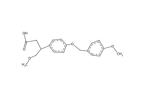 COCC(CC(=O)O)c1ccc(OCc2ccc(OC)cc2)cc1